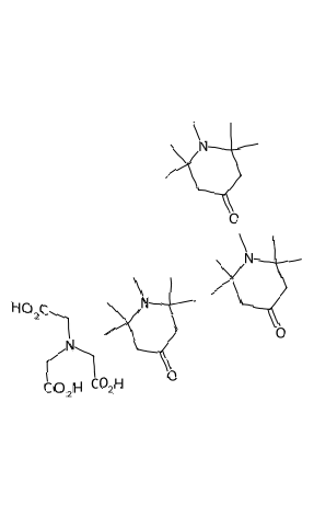 CN1C(C)(C)CC(=O)CC1(C)C.CN1C(C)(C)CC(=O)CC1(C)C.CN1C(C)(C)CC(=O)CC1(C)C.O=C(O)CN(CC(=O)O)CC(=O)O